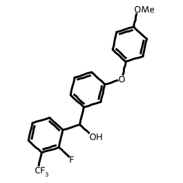 COc1ccc(Oc2cccc(C(O)c3cccc(C(F)(F)F)c3F)c2)cc1